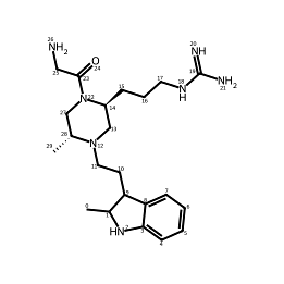 CC1Nc2ccccc2C1CCN1C[C@H](CCCNC(=N)N)N(C(=O)CN)C[C@H]1C